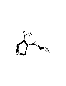 O=C(O)[C@@H]1COC[C@@H]1OCO